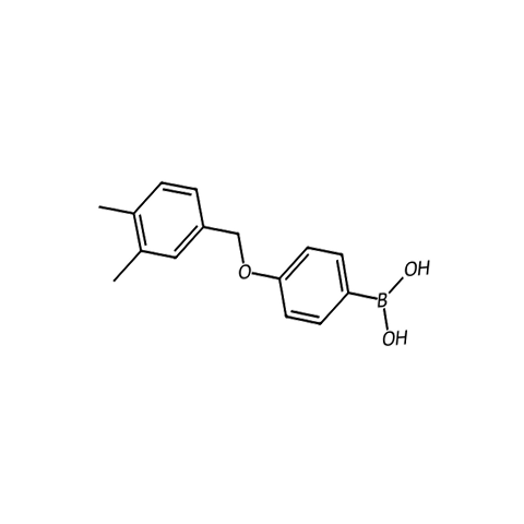 Cc1ccc(COc2ccc(B(O)O)cc2)cc1C